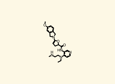 CCN(CCNC)c1ccncc1NC(=O)C1CC=C(N2Cc3ccc(OC)cc3C2)O1